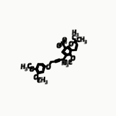 COc1ccc(OCC#CC(=O)c2cc([N+](=O)[O-])c3c(c2OC)C=CC(C)(C)O3)cc1OC